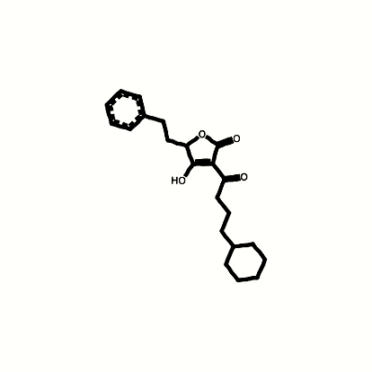 O=C(CCCC1CCCCC1)C1=C(O)C(CCc2ccccc2)OC1=O